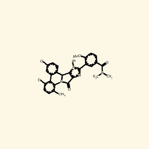 COc1ccc(C(=O)N(C)C)cc1-c1nc2c(n1C(C)C)C1c3ccc(Cl)cc3-c3c(Cl)ccc(C)c3N1C2=O